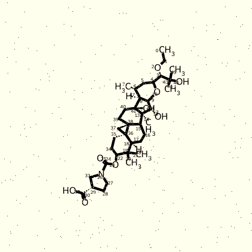 CCO[C@@H](C1C[C@@H](C)[C@H]2C(O1)[C@H](O)[C@@]1(C)C3CC[C@H]4C(C)(C)C(OC(=O)N5CC[C@H](C(=O)O)C5)CC[C@@]45C[C@@]35CC[C@]21C)C(C)(C)O